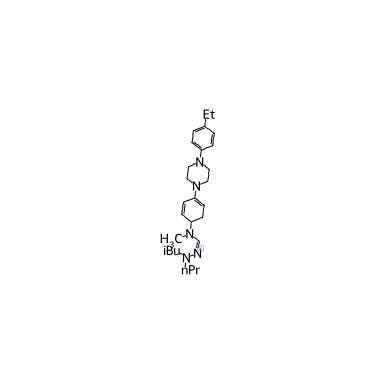 CCCN(/N=C\N(C)C1C=CC(N2CCN(c3ccc(CC)cc3)CC2)=CC1)C(C)CC